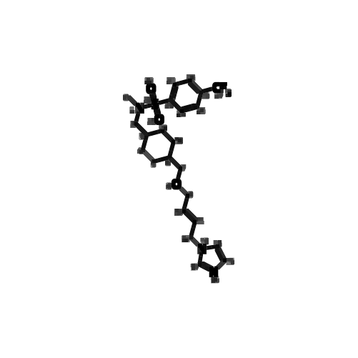 CN(CC1CCC(COCC=CCn2ccnc2)CC1)S(=O)(=O)c1ccc(C(F)(F)F)cc1